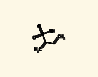 C=CC(=C)S(=O)(=O)S